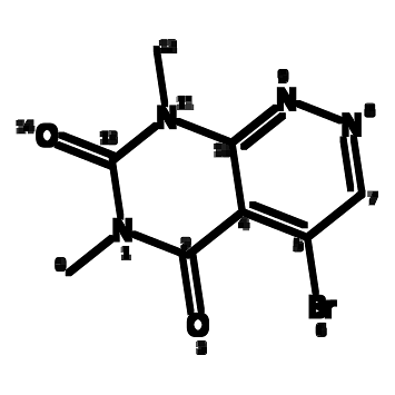 Cn1c(=O)c2c(Br)cnnc2n(C)c1=O